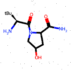 CC(C)(C)[C@H](N)C(=O)N1CC(O)CC1C(N)=O